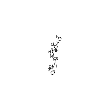 O=S(=O)=C(CNCCCc1nc(-c2cc3c(Nc4ccc(OCc5cccc(F)c5)c(Cl)c4)ncnc3cn2)cs1)c1ccccn1